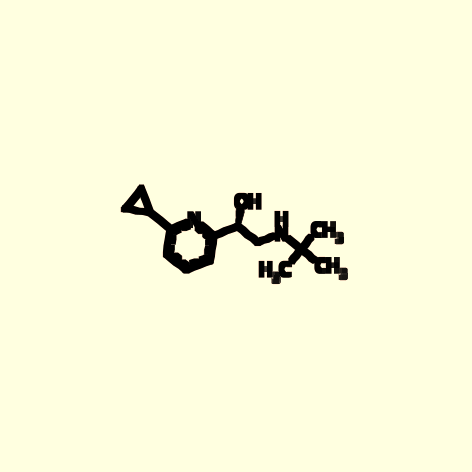 CC(C)(C)NC[C@H](O)c1cccc(C2CC2)n1